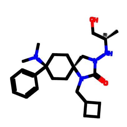 C[C@@H](CO)NN1C[C@]2(CC[C@](c3ccccc3)(N(C)C)CC2)N(CC2CCC2)C1=O